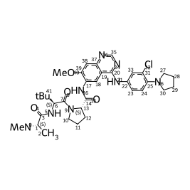 CN[C@@H](C)C(=O)N[C@H](C(=O)N1CCC[C@H]1C(=O)Nc1cc2c(Nc3ccc(N4CCCC4)c(Cl)c3)ncnc2cc1OC)C(C)(C)C